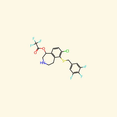 O=C(OC1CNCCc2c1ccc(Cl)c2SCc1cc(F)c(F)c(F)c1)C(F)(F)F